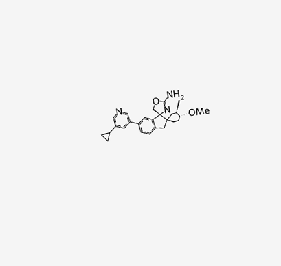 CO[C@@H]1CC[C@]2(Cc3ccc(-c4cncc(C5CC5)c4)cc3[C@@]23COC(N)=N3)C[C@H]1C